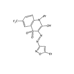 CCc1cc(N=NC2=C(O)N(C(C)C)c3ccc(C(F)(F)F)cc3S2(=O)=O)no1